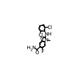 Cn1c(Nc2c(Cl)cccc2Cl)nc2cc(C(N)=O)c(F)cc21